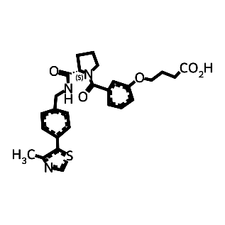 Cc1ncsc1-c1ccc(CNC(=O)[C@@H]2CCCN2C(=O)c2cccc(OCCCC(=O)O)c2)cc1